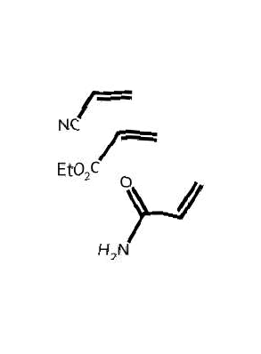 C=CC#N.C=CC(=O)OCC.C=CC(N)=O